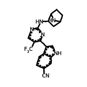 N#Cc1ccc2c(-c3nc(NC4CC5CCC4N5)ncc3C(F)(F)F)c[nH]c2c1